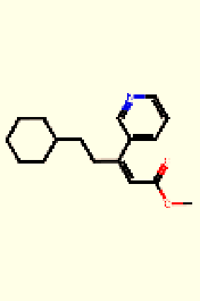 COC(=O)/C=C(/CCC1CCCCC1)c1cccnc1